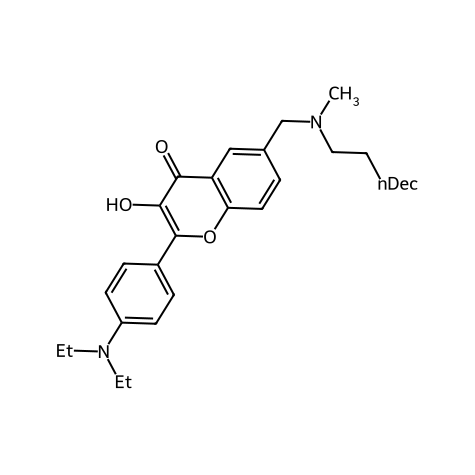 CCCCCCCCCCCCN(C)Cc1ccc2oc(-c3ccc(N(CC)CC)cc3)c(O)c(=O)c2c1